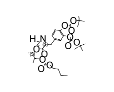 CCCCOC(=O)OC(C)[C@H](C)OC(=O)[C@@H](N)Cc1ccc(OC(=O)OC(C)(C)C)c(OC(=O)OC(C)(C)C)c1